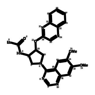 CCC(=O)NC1CN(c2ncnc3cc(OC)c(OC)cc23)CC1Oc1cnc2ccccc2n1